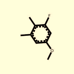 COc1cc(C)c(C)c(F)c1